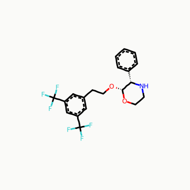 FC(F)(F)c1cc(CCO[C@H]2OCCN[C@H]2c2ccccc2)cc(C(F)(F)F)c1